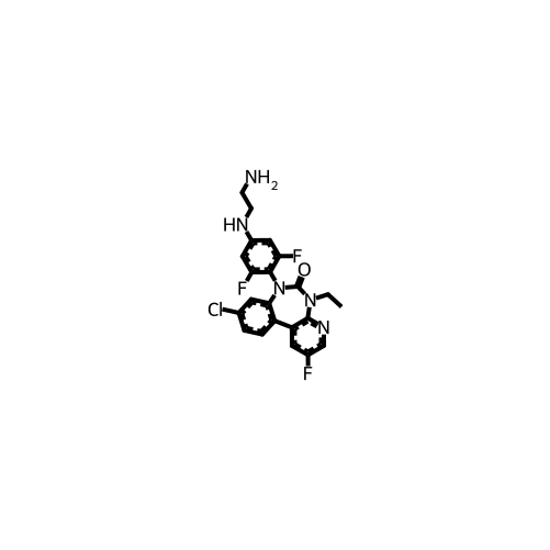 CCN1C(=O)N(c2c(F)cc(NCCN)cc2F)c2cc(Cl)ccc2-c2cc(F)cnc21